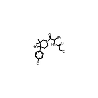 CC(C)C(NC(=O)CCl)C(=O)N1CCC(O)(c2ccc(Cl)cc2)C(C)(C)C1